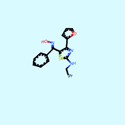 CC(C)CNc1nc(-c2ccco2)c(C(=NO)c2ccccc2)s1